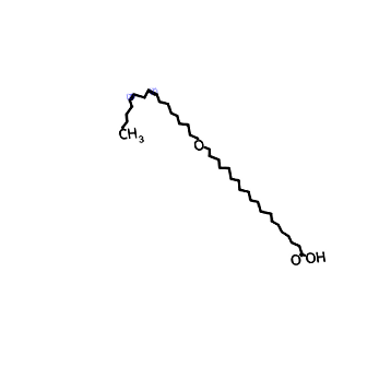 CCCCC/C=C\C/C=C\CCCCCCCCOCCCCCCCCCCCCCCCCCCCC(=O)O